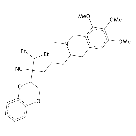 CCC(CC)C(C#N)(CCCC1Cc2cc(OC)c(OC)c(OC)c2CN1C)C1COc2ccccc2O1